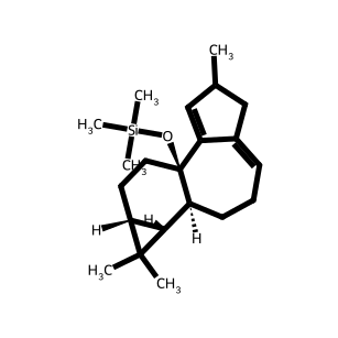 CC1C=C2C(=CCC[C@H]3[C@H]4[C@@H](CC[C@]23O[Si](C)(C)C)C4(C)C)C1